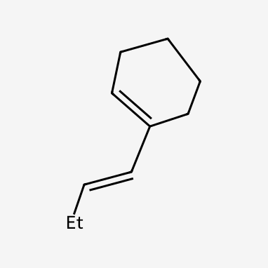 [CH2]CC=CC1=CCCCC1